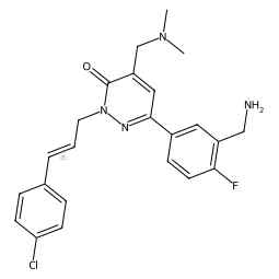 CN(C)Cc1cc(-c2ccc(F)c(CN)c2)nn(C/C=C/c2ccc(Cl)cc2)c1=O